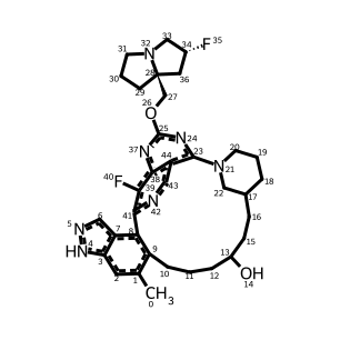 Cc1cc2[nH]ncc2c2c1CCCC(O)CCC1CCCN(C1)c1nc(OC[C@@]34CCCN3C[C@H](F)C4)nc3c(F)c-2ncc13